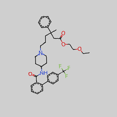 CCOCCOC(=O)CC(C)(CCCN1CCC(NC(=O)c2ccccc2-c2ccc(C(F)(F)F)cc2)CC1)c1ccccc1